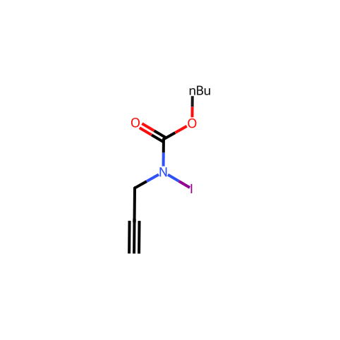 C#CCN(I)C(=O)OCCCC